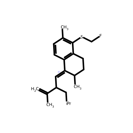 C=C(C)C(/C=C1/c2ccc(C)c(SCF)c2CCC1C)CC(C)C